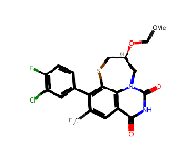 COCO[C@@H]1CSc2c(-c3ccc(F)c(Cl)c3)c(C(F)(F)F)cc3c(=O)[nH]c(=O)n(c23)C1